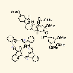 COC(=O)[C@H]1[C@H]2C[C@@H]3c4[nH]c5cc(OC)ccc5c4CCN3C[C@H]2C[C@@H](OC(=O)c2cc(OC)c(OC)c(OC)c2)[C@@H]1OC.c1ccc2c(c1)C1=NC/2=N\c2c3ccccc3c3[n]2[Cu][n]2/c(c4ccccc4/c2=N/C2=N\C(=N/3)c3ccccc32)=N\1